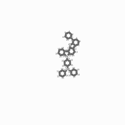 c1ccc(-c2cccc3c2sc2c3ccc3c2c2ccccc2n3-c2ccc(N(c3ccccc3)c3ccccc3)cc2)cc1